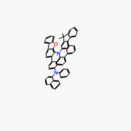 CC1(C)c2ccccc2-c2ccc(N(c3ccccc3-c3ccccc3)c3c(-c4ccc(N(c5ccccc5)c5cccc6ccccc56)cc4)ccc4c3oc3ccccc34)cc21